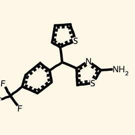 Nc1nc(C(c2ccc(C(F)(F)F)cc2)c2cccs2)cs1